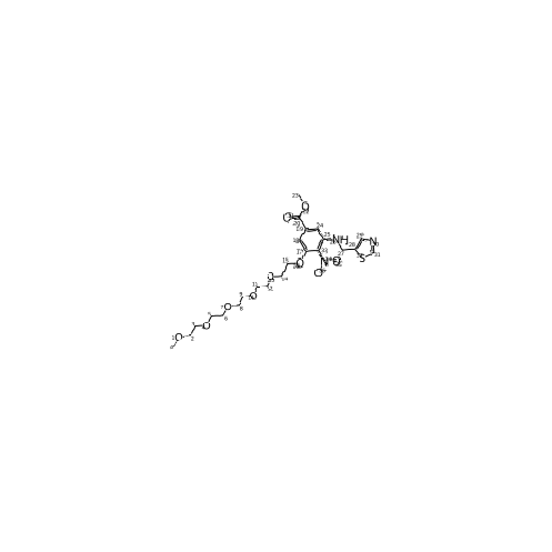 COCCOCCOCCOCCOCCOc1cc(C(=O)OC)cc(NCc2cncs2)c1[N+](=O)[O-]